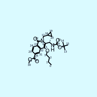 CCCCOc1c(CNC(=O)OC(C)(C)C)n(CC2CC2)c(=O)c2ccc(C(=O)OC)cc12